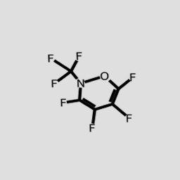 FC1=C(F)C(F)=C(F)N(C(F)(F)F)O1